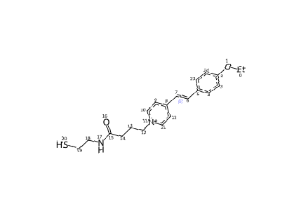 CCOc1ccc(/C=C/c2cc[n+](CCCC(=O)NCCS)cc2)cc1